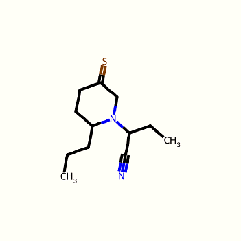 CCCC1CCC(=S)CN1C(C#N)CC